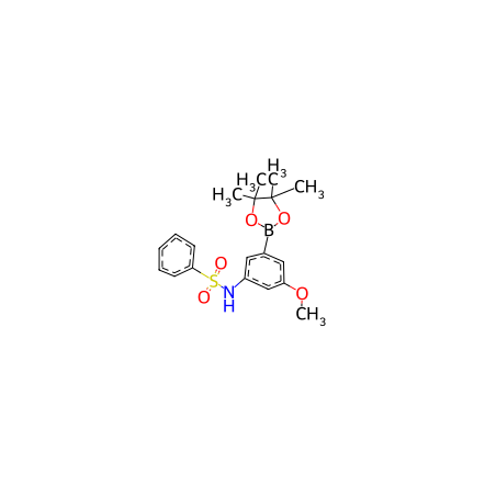 COc1cc(NS(=O)(=O)c2ccccc2)cc(B2OC(C)(C)C(C)(C)O2)c1